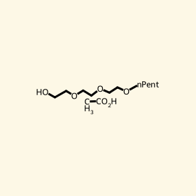 CC(=O)O.CCCCCOCCOCCOCCO